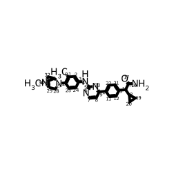 Cc1cc(Nc2nccc(-c3ccc(C(C(N)=O)C4CC4)cc3)n2)ccc1N1CC2CC1CN2C